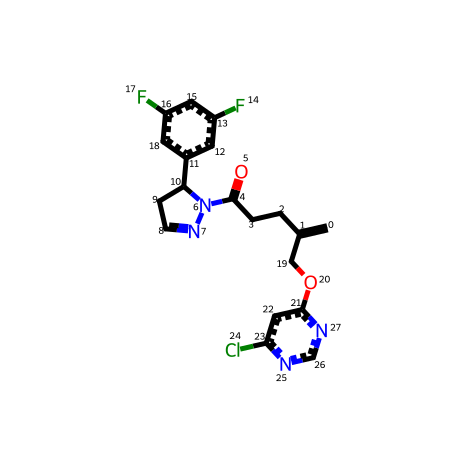 C=C(CCC(=O)N1N=CCC1c1cc(F)cc(F)c1)COc1cc(Cl)ncn1